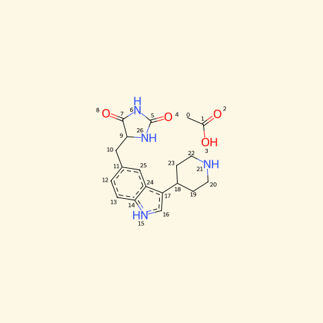 CC(=O)O.O=C1NC(=O)C(Cc2ccc3[nH]cc(C4CCNCC4)c3c2)N1